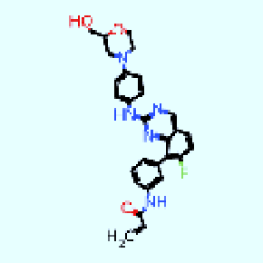 C=CC(=O)Nc1cccc(-c2c(F)ccc3cnc(Nc4ccc(N5CCOC(CO)C5)cc4)nc23)c1